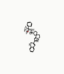 COC(NC(=O)N1CCC2(CCn3nc(-c4cnc5ccccc5c4)cc32)C1)(c1ccccc1)C(F)(F)F